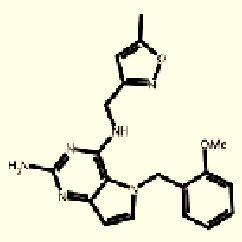 COc1ccccc1Cn1ccc2nc(N)nc(NCc3cc(C)on3)c21